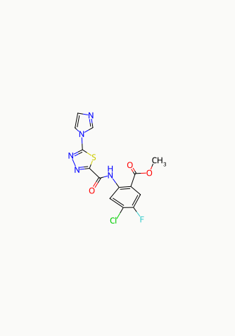 COC(=O)c1cc(F)c(Cl)cc1NC(=O)c1nnc(-n2ccnc2)s1